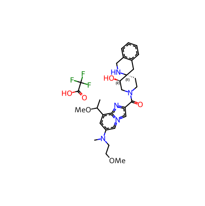 COCCN(C)c1cc(C(C)OC)c2nc(C(=O)N3CC[C@]4(Cc5ccccc5CN4)[C@H](O)C3)cn2c1.O=C(O)C(F)(F)F